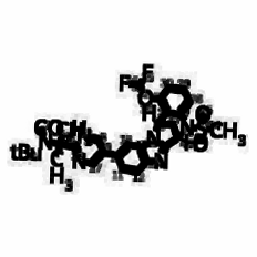 CC(C)(C)N(C(=O)O)C(C)(C)c1ncc(-c2ccc3nc4n(c3c2)[C@@H]2C[C@H]4N(S(C)(=O)=O)c3cccc(OC(F)F)c32)cn1